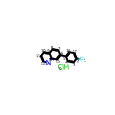 Cl.Fc1ccc(-c2ccc3cccnc3c2)cc1